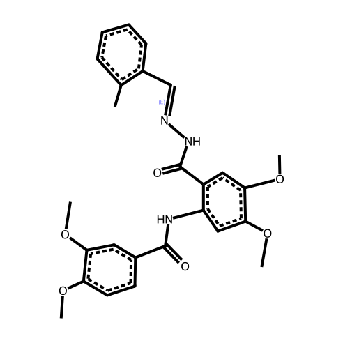 COc1ccc(C(=O)Nc2cc(OC)c(OC)cc2C(=O)N/N=C/c2ccccc2C)cc1OC